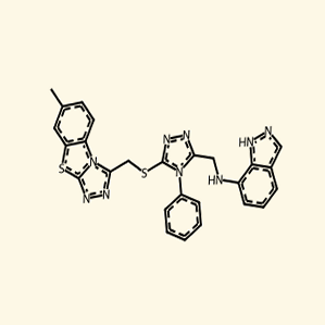 Cc1ccc2c(c1)sc1nnc(CSc3nnc(CNc4cccc5cn[nH]c45)n3-c3ccccc3)n12